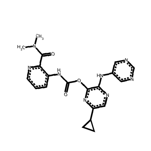 CN(C)C(=O)c1ncccc1NC(=O)Oc1nc(C2CC2)cnc1Nc1cncnc1